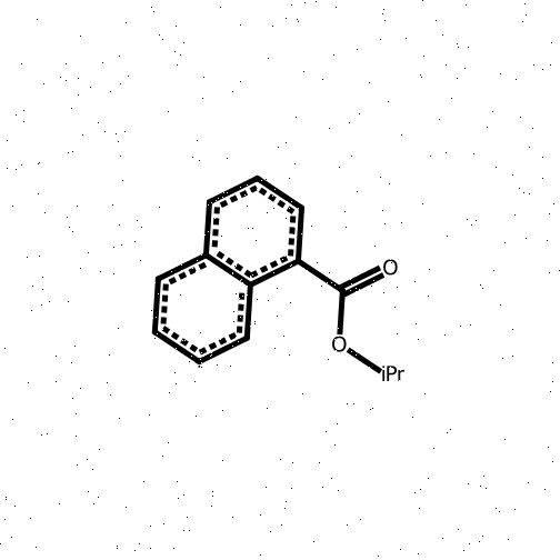 CC(C)OC(=O)c1cccc2cc[c]cc12